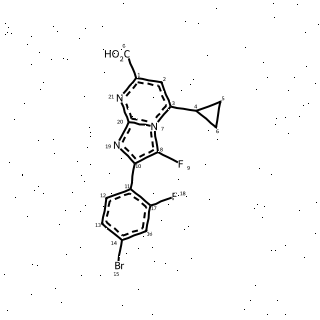 O=C(O)c1cc(C2CC2)n2c(F)c(-c3ccc(Br)cc3F)nc2n1